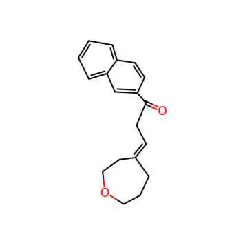 O=C(C/C=C1/CCCOCC1)c1ccc2ccccc2c1